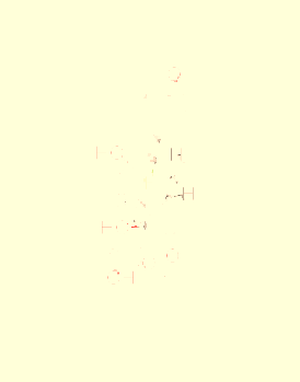 C=CCOC1C[C@H]2[C@@H]3CCC4=CC(=O)CC[C@]4(C)[C@@]3(F)C(O)C[C@]2(C)[C@@]1(O)C(=O)CO